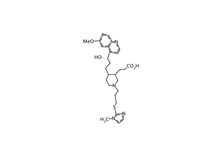 COc1ccc2nccc([C@@H](O)CCC3CCN(CCCSc4nccn4C)CC3CCC(=O)O)c2c1